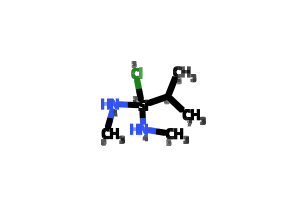 CN[Si](Cl)(NC)C(C)C